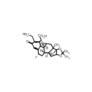 CC(=O)[C@@]12OC(C)(C)OC1C[C@H]1[C@@H]3C[C@H](F)C4=CC(=O)C(CC(=O)O)=C(CC(=O)O)[C@]4(C)[C@@]34O[C@H]4C[C@@]12C